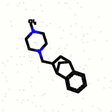 CN1CCN(CC2CC3CC2c2ccccc23)CC1